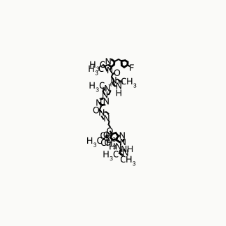 Cc1n[nH]c(Nc2ncnc3cc(OCCCN4CCN(C(=O)c5cnc(N6CCN(C[C@H]7CN[C@H](C)CN7CC(=O)N7CC(C)(C)c8ncc(Cc9ccc(F)cc9)cc87)[C@H](C)C6)cn5)CC4)c(S(=O)(=O)C(C)(C)C)cc23)c1C